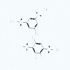 Cc1cc(S(=O)(=O)O)c(N=Nc2cc(S(=O)(=O)O)cc(S(=O)(=O)O)c2)cc1S(=O)(=O)O